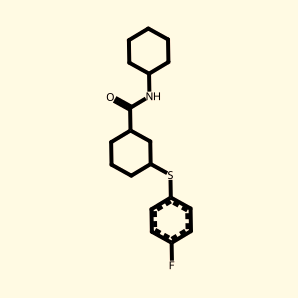 O=C(NC1CCCCC1)C1CCCC(Sc2ccc(F)cc2)C1